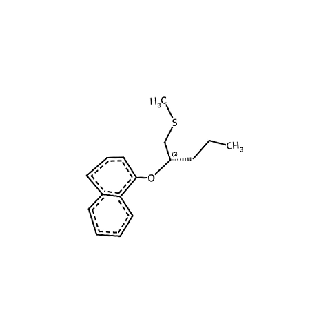 CCC[C@@H](CSC)Oc1cccc2ccccc12